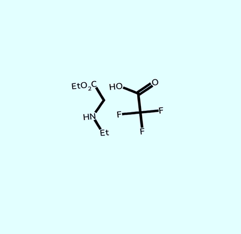 CCNCC(=O)OCC.O=C(O)C(F)(F)F